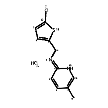 Cc1ccc(=NCc2ccc(Cl)s2)[nH]c1.Cl